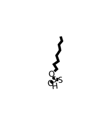 CCCCCCCCO[SH](=O)=S